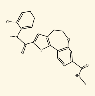 CNC(=O)c1ccc2c(c1)OCCc1cc(C(=O)N(C)C3=CCCC=C3Cl)sc1-2